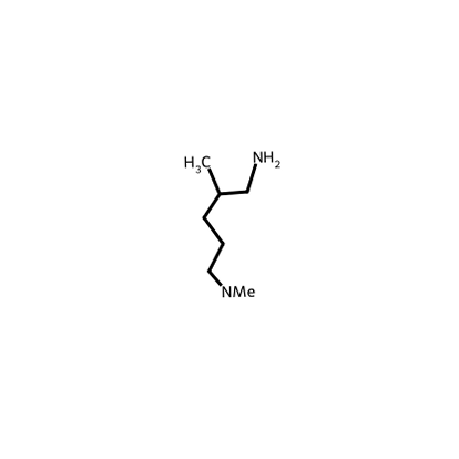 CNCCCC(C)CN